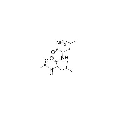 CC(=O)NC(CC(C)C)C(=O)NC(CC(C)C)C(N)=O